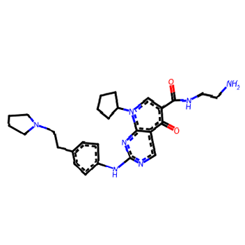 NCCNC(=O)c1cn(C2CCCC2)c2nc(Nc3ccc(CCN4CCCC4)cc3)ncc2c1=O